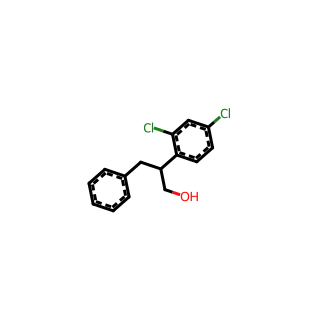 OCC(Cc1ccccc1)c1ccc(Cl)cc1Cl